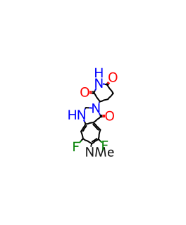 CNC1=C(F)C=C2C(=O)N(C3CCC(=O)NC3=O)CNC2=CC1F